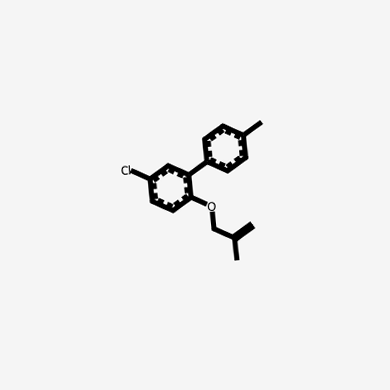 C=C(C)COc1ccc(Cl)cc1-c1ccc(C)cc1